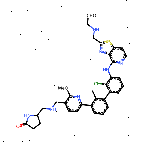 COc1nc(-c2cccc(-c3cccc(Nc4nccc5sc(CNCC=O)nc45)c3Cl)c2C)ccc1CNCC1CCC(=O)N1